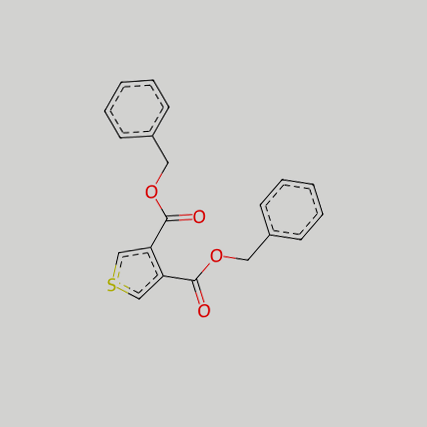 O=C(OCc1ccccc1)c1cscc1C(=O)OCc1ccccc1